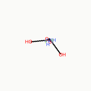 O=C(N[C@H]1C[C@H]1NC(=O)/C(F)=C/CCCCCCCCCCCCCCCO)/C(F)=C/CCCCCCCCCCCCCCCO